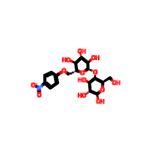 O=[N+]([O-])c1ccc(OC[C@H]2O[C@@H](O[C@H]3[C@H](O)[C@@H](O)[C@H](O)O[C@@H]3CO)[C@H](O)[C@@H](O)[C@@H]2O)cc1